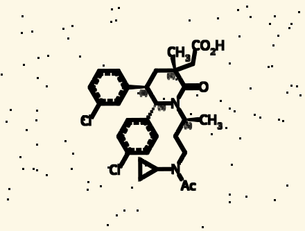 CC(=O)N(CC[C@H](C)N1C(=O)[C@@](C)(CC(=O)O)C[C@H](c2cccc(Cl)c2)[C@H]1c1ccc(Cl)cc1)C1CC1